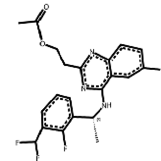 CC(=O)OCCc1nc(N[C@H](C)c2cccc(C(F)F)c2F)c2cc(Br)ccc2n1